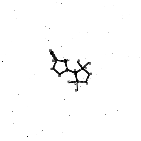 C[Si]1(C)CC[Si](C)(C)N1C1CCC(=O)O1